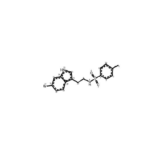 Cc1ccc(S(=O)(=O)NCCc2c[nH]c3cc(Br)ccc23)cc1